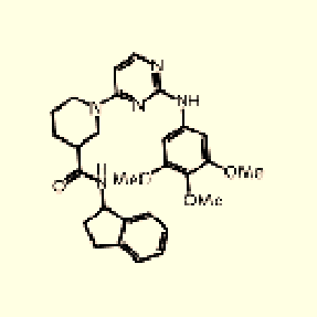 COc1cc(Nc2nccc(N3CCCC(C(=O)NC4CCc5ccccc54)C3)n2)cc(OC)c1OC